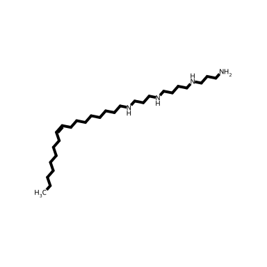 CCCCCCCC/C=C\CCCCCCCCNCCCNCCCCNCCCN